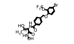 C[C@@H](O)[C@H](NC(=O)c1ccc(COc2ccc(Br)cc2OC(F)(F)F)cc1)C(=O)NO